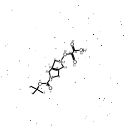 CC(C)(C)OC(=O)N1CC2=C(CN(OC(=O)C(=O)O)C2)C1